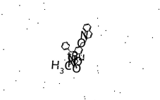 Cn1nc(-c2ccc(OCc3ccc4ccccc4n3)cc2C(c2ccccc2)C(C)(C)C)oc1=O